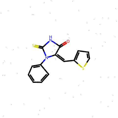 O=C1NC(=S)N(c2ccccc2)C1=Cc1cccs1